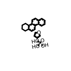 O=P(O)(O)O.c1ccc2c(c1)ccc1c3c(ccc12)CCCC3.c1ccoc1